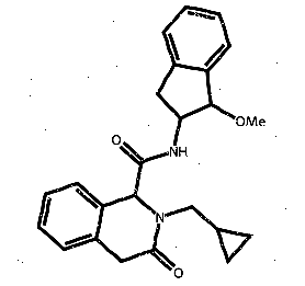 COC1c2ccccc2CC1NC(=O)C1c2ccccc2CC(=O)N1CC1CC1